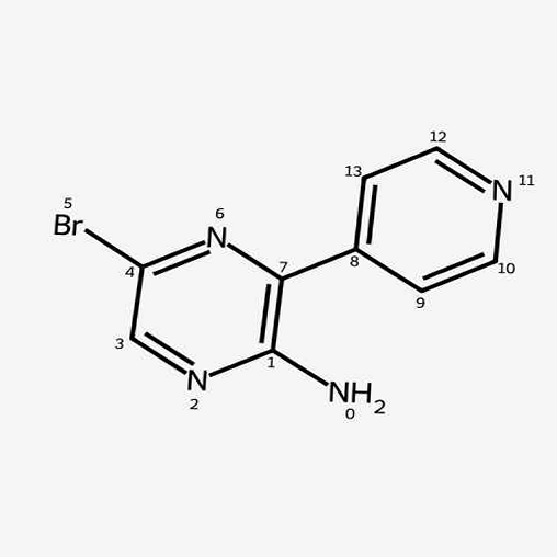 Nc1ncc(Br)nc1-c1ccncc1